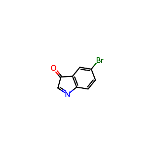 O=C1C=Nc2ccc(Br)cc21